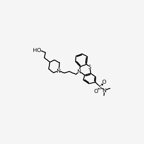 CN(C)S(=O)(=O)c1ccc2c(c1)Sc1ccccc1N2CCCN1CCC(CCO)CC1